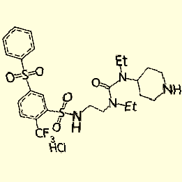 CCN(CCNS(=O)(=O)c1cc(S(=O)(=O)c2ccccc2)ccc1C(F)(F)F)C(=O)N(CC)C1CCNCC1.Cl